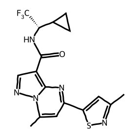 Cc1cc(-c2cc(C)n3ncc(C(=O)N[C@@H](C4CC4)C(F)(F)F)c3n2)sn1